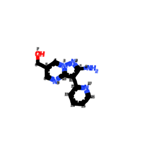 Nc1nn2cc(CO)cnc2c1-c1ccccn1